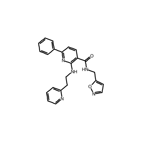 O=C(NCc1ccno1)c1ccc(-c2ccccc2)nc1NCCc1ccccn1